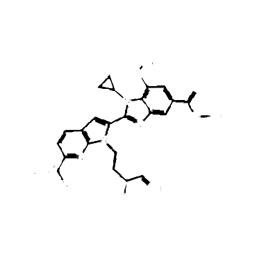 C=C[C@@H](C)CCn1c(-c2nc3cc(C(=O)OC)cc(OC)c3n2C2CC2)cc2ccc([C@@H](C)N)nc21